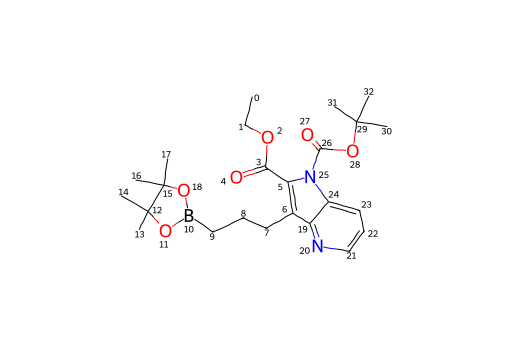 CCOC(=O)c1c(CCCB2OC(C)(C)C(C)(C)O2)c2ncccc2n1C(=O)OC(C)(C)C